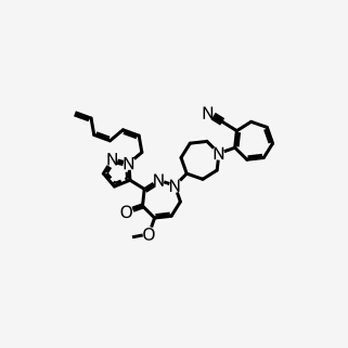 C=C/C=C\C=C/Cn1nccc1C1=NN(C2CCCN(C3=C(C#N)CC=CC=C3)CC2)CC=C(OC)C1=O